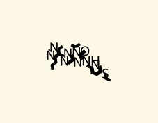 CCCc1ncnc(C)c1-c1ncc2nc(NCc3ccc(SCC)cn3)c(=O)n(C(C)C)c2n1